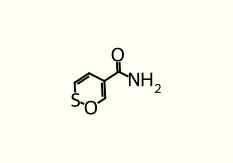 NC(=O)C1=COSC=C1